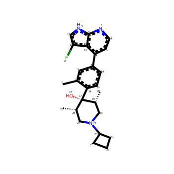 Cc1cc(-c2ccnc3[nH]cc(F)c23)ccc1[C@@]1(O)[C@H](C)CN(C2CCC2)C[C@@H]1C